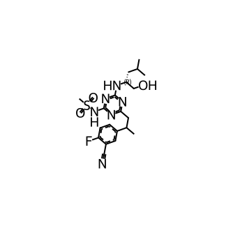 CC(C)C[C@H](CO)Nc1nc(CC(C)c2ccc(F)c(C#N)c2)nc(NS(C)(=O)=O)n1